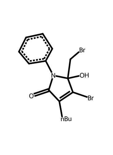 CCCCC1=C(Br)C(O)(CBr)N(c2ccccc2)C1=O